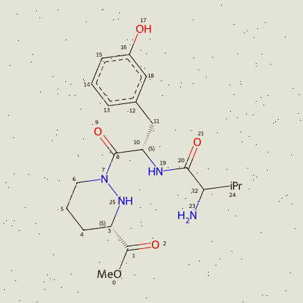 COC(=O)[C@@H]1CCCN(C(=O)[C@H](Cc2cccc(O)c2)NC(=O)C(N)C(C)C)N1